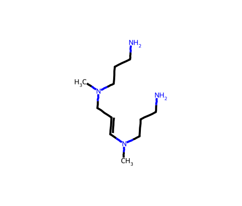 CN(C=CCN(C)CCCN)CCCN